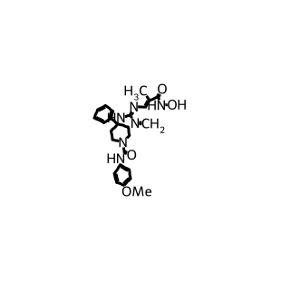 C=N/C(=N\C=C(/C)C(=O)NO)NC1(c2ccccc2)CCN(C(=O)Nc2ccc(OC)cc2)CC1